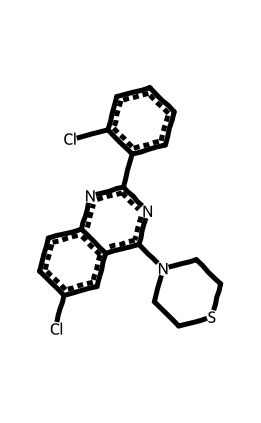 Clc1ccc2nc(-c3ccccc3Cl)nc(N3CCSCC3)c2c1